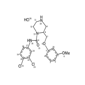 COc1cccc(OCC2CNCCN2C(=O)Nc2ccc(Cl)c(Cl)c2)c1.Cl